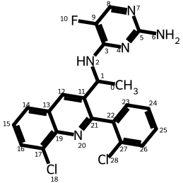 CC(Nc1nc(N)ncc1F)c1cc2cccc(Cl)c2nc1-c1ccccc1Cl